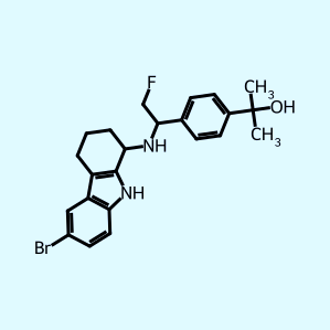 CC(C)(O)c1ccc(C(CF)NC2CCCc3c2[nH]c2ccc(Br)cc32)cc1